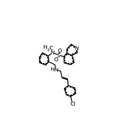 CN(c1ccccc1CNCC=Cc1ccc(Cl)cc1)S(=O)(=O)c1cccc2cnccc12